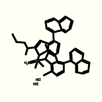 CCCC(C)C1=Cc2c(-c3cccc4ccccc34)cccc2[CH]1[Zr]([CH3])([CH3])(=[SiH2])[CH]1C(C)=Cc2c(-c3cccc4ccccc34)ccc(C)c21.Cl.Cl